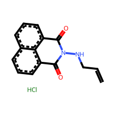 C=CCNN1C(=O)c2cccc3cccc(c23)C1=O.Cl